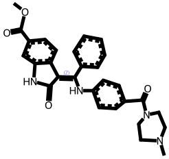 COC(=O)c1ccc2c(c1)NC(=O)/C2=C(\Nc1ccc(C(=O)N2CCN(C)CC2)cc1)c1ccccc1